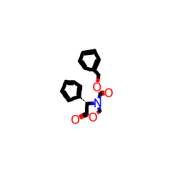 O=C1OCN(C(=O)OCc2ccccc2)[C@H]1c1ccccc1